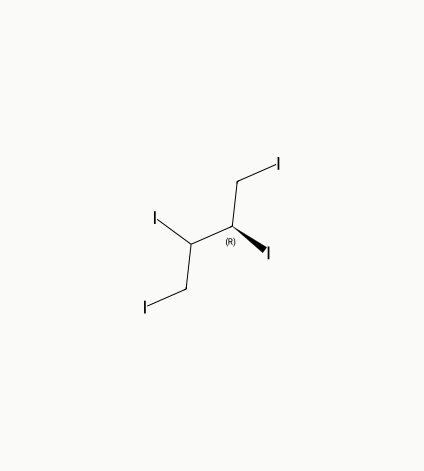 ICC(I)[C@H](I)CI